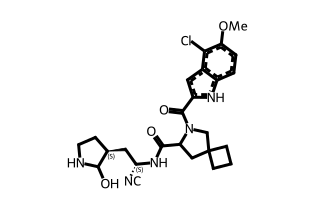 COc1ccc2[nH]c(C(=O)N3CC4(CCC4)CC3C(=O)N[C@H](C#N)C[C@@H]3CCNC3O)cc2c1Cl